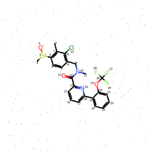 Cc1c([S+](C)[O-])ccc(CN(C)C(=O)c2cccc(-c3ccccc3OC(F)(F)F)n2)c1Cl